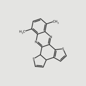 Cc1ccc(C)c2nc3c(nc12)-c1sccc1C1C=CSC31